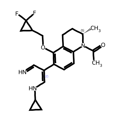 CC(=O)N1c2ccc(/C(C=N)=C/NC3CC3)c(OCC3CC3(F)F)c2CC[C@@H]1C